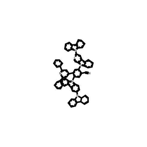 N#Cc1cc(-n2c3ccccc3c3cc(N4c5ccccc5C5C=CC=CC54)ccc32)c(-c2cc(-c3ccccc3)nc(-c3ccccc3)c2)cc1-n1c2ccccc2c2cc(-n3c4ccccc4c4ccccc43)ccc21